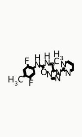 Cc1cc(F)c(NC(=O)N[C@@H](C)c2ncnn2-c2ncccn2)cc1F